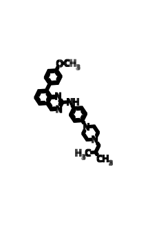 COc1ccc(-c2cccc3cnc(Nc4ccc(N5CCN(CC(C)C)CC5)cc4)nc23)cc1